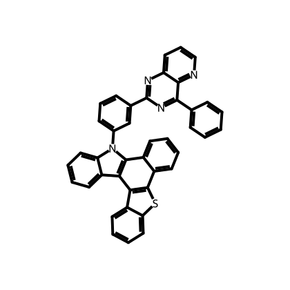 c1ccc(-c2nc(-c3cccc(-n4c5ccccc5c5c6c7ccccc7sc6c6ccccc6c54)c3)nc3cccnc23)cc1